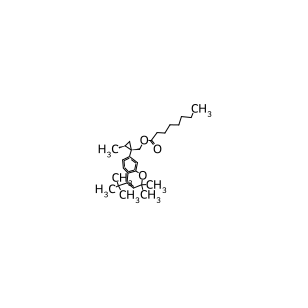 CCCCCCCC(=O)OC[C@]1(c2ccc3c(c2)OC(C)(C)C=C3C(C)(C)C)C[C@@H]1C